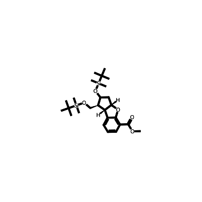 COC(=O)c1cccc2c1O[C@H]1CC(O[Si](C)(C)C(C)(C)C)[C@H](CO[Si](C)(C)C(C)(C)C)[C@@H]21